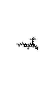 Cc1cnn(-c2cc(C#C[Si](C(C)C)(C(C)C)C(C)C)c3cnc(Nc4ccc(N(C)CCN(C)C)cc4)nc3n2)c1